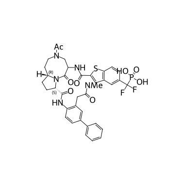 CNC(=O)Cc1cc(-c2ccccc2)ccc1NC(=O)[C@@H]1CC[C@@H]2CCN(C(C)=O)CC(NC(=O)c3cc4cc(C(F)(F)P(=O)(O)O)ccc4s3)C(=O)N21